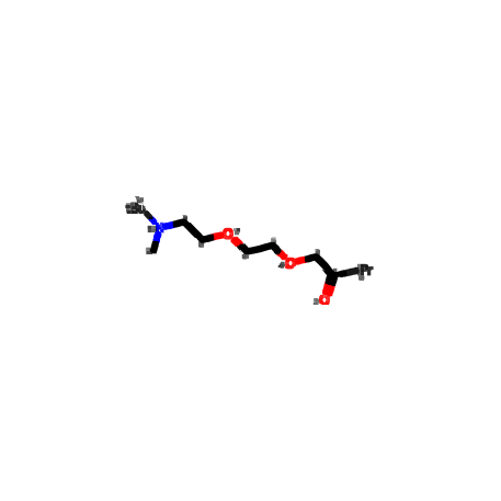 CC(C)C(=O)COCCOCCN(C)C(C)(C)C